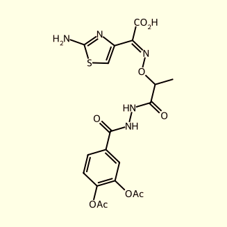 CC(=O)Oc1ccc(C(=O)NNC(=O)C(C)ON=C(C(=O)O)c2csc(N)n2)cc1OC(C)=O